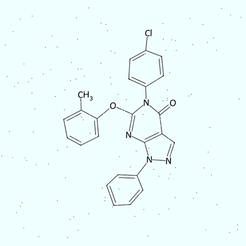 Cc1ccccc1Oc1nc2c(cnn2-c2ccccc2)c(=O)n1-c1ccc(Cl)cc1